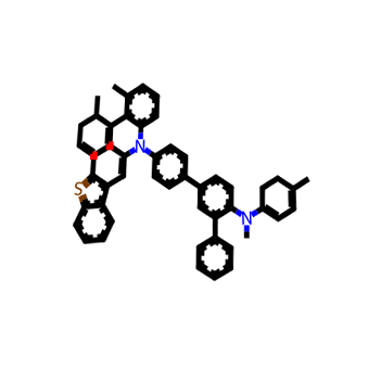 CC1=CC=C(N(C)c2ccc(-c3ccc(N(C4=Cc5c(sc6ccccc56)CC4)c4cccc(C)c4C4=CC=CCC4C)cc3)cc2-c2ccccc2)CC1